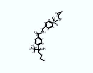 CCCCC(O)(c1ccc(C(=O)NCc2ccc(S(=O)(=O)NC3CC3)cc2)cc1)C(F)(F)F